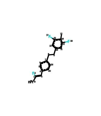 CCCC(F)=Cc1ccc(CCc2cc(F)c(C)c(F)c2)cc1